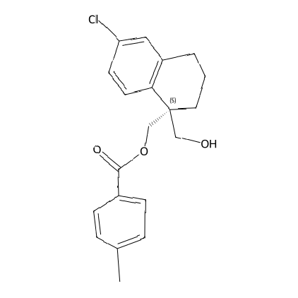 Cc1ccc(C(=O)OC[C@@]2(CO)CCCc3cc(Cl)ccc32)cc1